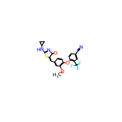 COc1cc(C=C2SC(NC3CC3)=NC2=O)ccc1Oc1ccc(C#N)cc1C(F)(F)F